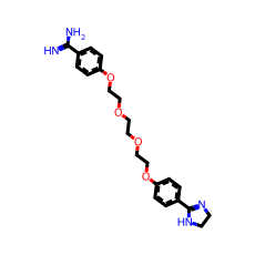 N=C(N)c1ccc(OCCOCCOCCOc2ccc(C3=NCCN3)cc2)cc1